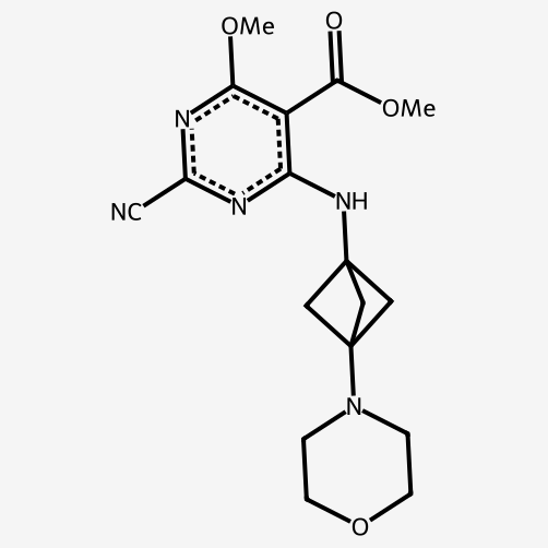 COC(=O)c1c(NC23CC(N4CCOCC4)(C2)C3)nc(C#N)nc1OC